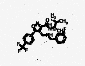 CC(C)[C@H](C)NC(=O)c1noc(-c2ccc(C(F)(F)F)cc2)c1CNCc1cccc(F)c1